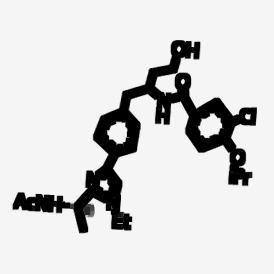 CCn1cc(-c2ccc(CC(CCO)NC(=O)c3ccc(OC(C)C)c(Cl)c3)cc2)nc1[C@H](C)NC(C)=O